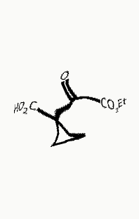 CCOC(=O)C(=O)C1(C(=O)O)CC1